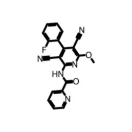 COc1nc(NC(=O)c2ccccn2)c(C#N)c(-c2ccccc2F)c1C#N